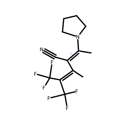 CC(=C(C(F)(F)F)C(F)(F)F)/C(C#N)=C(\C)N1CCCC1